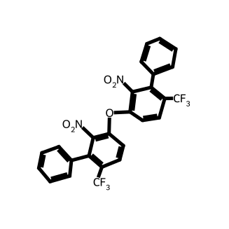 O=[N+]([O-])c1c(Oc2ccc(C(F)(F)F)c(-c3ccccc3)c2[N+](=O)[O-])ccc(C(F)(F)F)c1-c1ccccc1